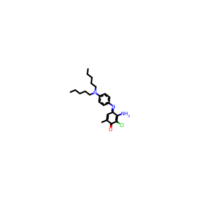 CCCCCN(CCCCC)c1ccc(/N=C2\C=C(C)C(=O)C(Cl)=C2N)cc1